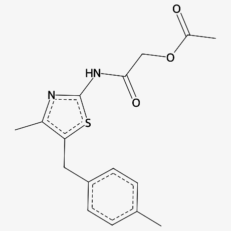 CC(=O)OCC(=O)Nc1nc(C)c(Cc2ccc(C)cc2)s1